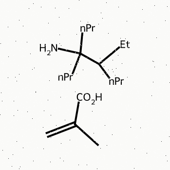 C=C(C)C(=O)O.CCCC(CC)C(N)(CCC)CCC